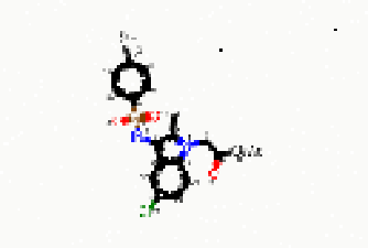 COC(=O)Cn1c(C)c(NS(=O)(=O)c2ccc(C(F)(F)F)cc2)c2cc(Cl)ccc21